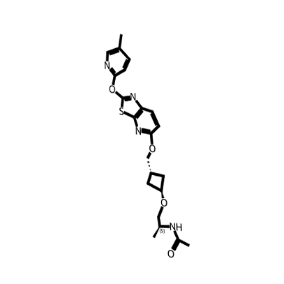 CC(=O)N[C@@H](C)CO[C@H]1C[C@H](COc2ccc3nc(Oc4ccc(C)cn4)sc3n2)C1